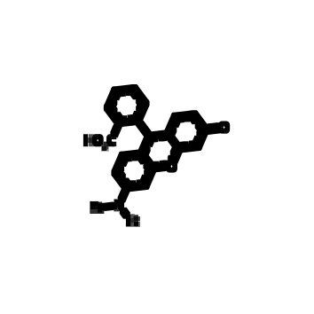 CCN(CC)c1ccc2c(-c3ccccc3C(=O)O)c3ccc(=O)cc-3oc2c1